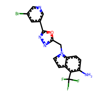 Nc1ccc2c(ccn2Cc2nnc(-c3cncc(Br)c3)o2)c1C(F)(F)F